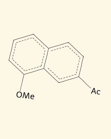 COc1cccc2ccc(C(C)=O)cc12